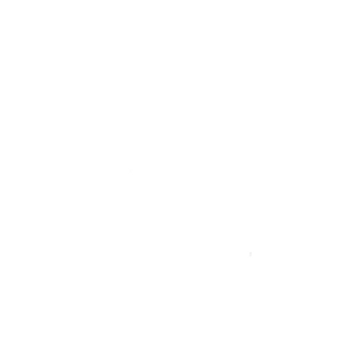 CCCS(=O)(=O)O[C@@H]1OCCc2cc(Br)ccc21